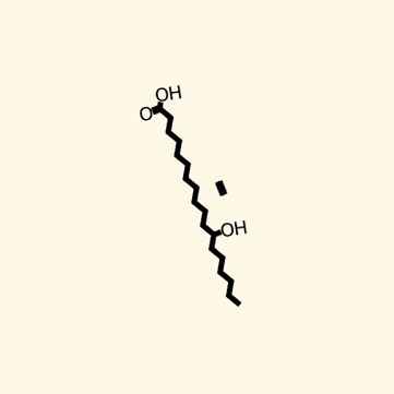 C=C.CCCCCCC(O)CCCCCCCCCCC(=O)O